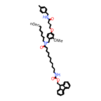 CCCCCCCCCCCCCCCCN(Cc1ccc(OCCCC(=O)NCc2ccc(C)cc2)cc1OC)C(=O)CCCCCCCCCCNC(=O)OCC1c2ccccc2-c2ccccc21